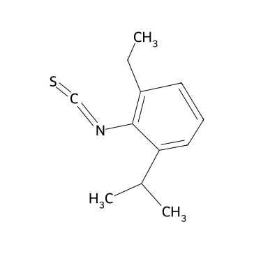 CCc1cccc(C(C)C)c1N=C=S